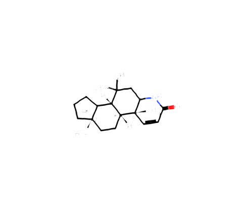 CCCCC1(C)CC2NC(=O)C=C[C@]2(C)[C@@H]2CC[C@]3(C)CCC[C@H]3[C@@H]21